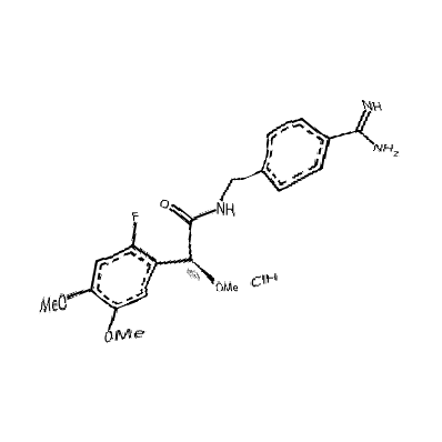 COc1cc(F)c([C@H](OC)C(=O)NCc2ccc(C(=N)N)cc2)cc1OC.Cl